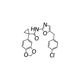 O=C(Nc1ncc(Cc2ccc(Cl)cc2)o1)C1(c2ccc3c(c2)OCO3)CC1